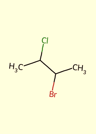 CC(Cl)C(C)Br